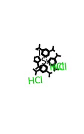 CC(C)C1=CC[C]([Ti])=C1[Si](c1cc(C(C)C)cc(C(C)C)c1)(c1cc(C(C)C)cc(C(C)C)c1)c1cc(C(C)C)cc(C(C)C)c1.Cl.Cl.Cl